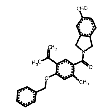 C=C(C)c1cc(C(=O)N2Cc3ccc(C=O)cc3C2)c(C)cc1OCc1ccccc1